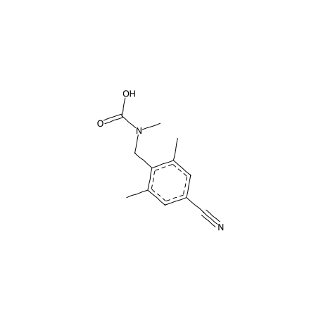 Cc1cc(C#N)cc(C)c1CN(C)C(=O)O